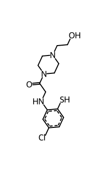 O=C(CNc1cc(Cl)ccc1S)N1CCN(CCO)CC1